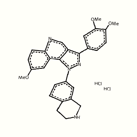 COc1ccc2ncc3c(-c4ccc(OC)c(OC)c4)nn(-c4ccc5c(c4)CNCC5)c3c2c1.Cl.Cl